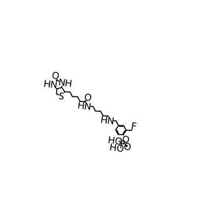 O=C(CCCCC1SCC2NC(=O)NC21)NCCCCCNCc1ccc(OP(=O)(O)O)c(CF)c1